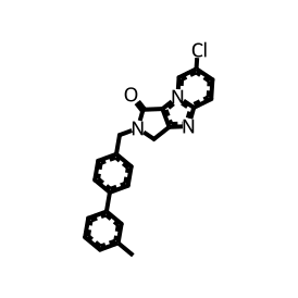 Cc1cccc(-c2ccc(CN3Cc4nc5ccc(Cl)cn5c4C3=O)cc2)c1